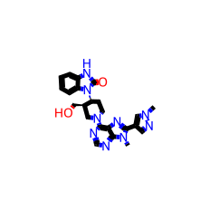 Cn1cc(-c2nc3c(N4CC[C@@H](n5c(=O)[nH]c6ccccc65)[C@H](CO)C4)ncnc3n2C)cn1